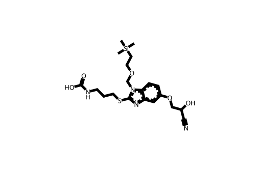 C[Si](C)(C)CCOCn1c(SCCCNC(=O)O)nc2cc(OCC(O)C#N)ccc21